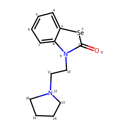 O=c1[se]c2ccccc2n1CCN1CCCC1